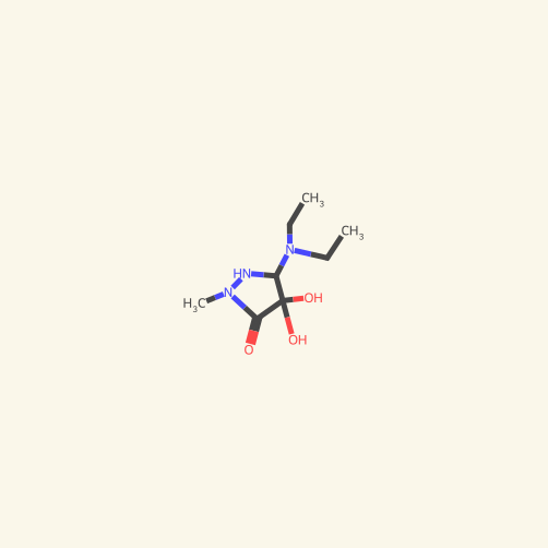 CCN(CC)C1NN(C)C(=O)C1(O)O